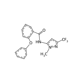 Cn1nc(C(F)(F)F)cc1NC(=O)c1ccccc1Oc1ccccc1